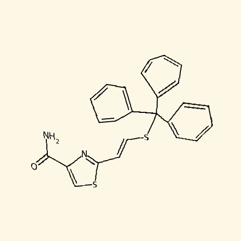 NC(=O)c1csc(C=CSC(c2ccccc2)(c2ccccc2)c2ccccc2)n1